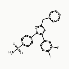 NS(=O)(=O)c1ccc(-c2oc(Cc3ccccc3)nc2-c2ccc(F)c(F)c2)cc1